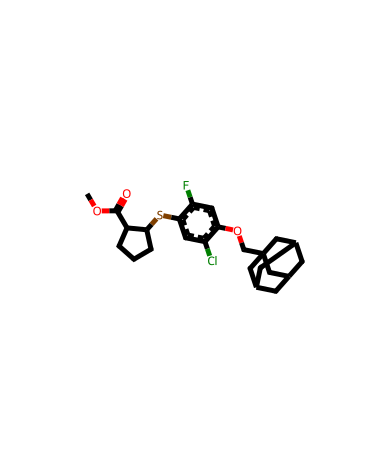 COC(=O)C1CCCC1Sc1cc(Cl)c(OCC23CC4CC(CC(C4)C2)C3)cc1F